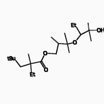 CCC(OC(C)(C)C(C)COC(=O)C(C)(CC)CC(C)(C)C)C(C)(C)O